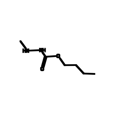 CCCCOC(=O)NNC